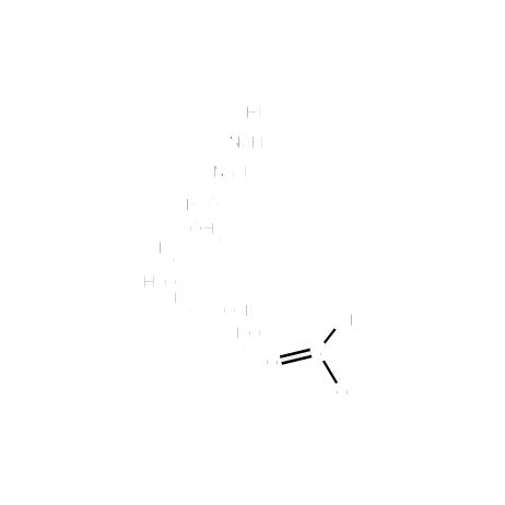 I.O.O.O.O.O.O.O.O=S(O)O.[NaH].[NaH]